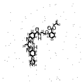 CC(C)COC(=O)c1ccccc1OCCNC(=O)c1ccc2nc(C(C)c3nc4cc(-n5ccnc5)ccc4[nH]3)n(C)c2c1